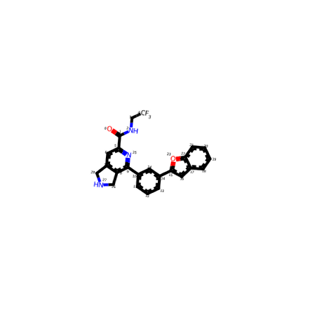 O=C(NCC(F)(F)F)c1cc2c(c(-c3cccc(-c4cc5ccccc5o4)c3)n1)CNC2